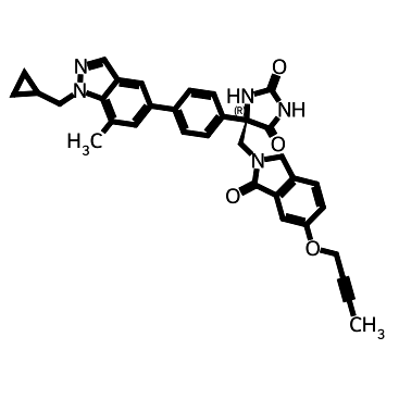 CC#CCOc1ccc2c(c1)C(=O)N(C[C@@]1(c3ccc(-c4cc(C)c5c(cnn5CC5CC5)c4)cc3)NC(=O)NC1=O)C2